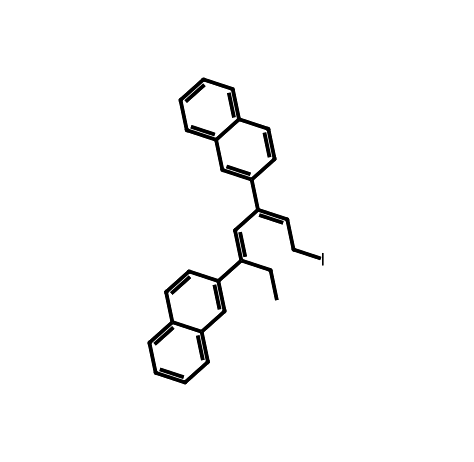 CC/C(=C\C(=C/CI)c1ccc2ccccc2c1)c1ccc2ccccc2c1